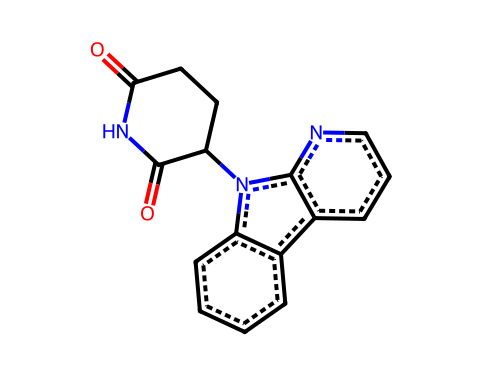 O=C1CCC(n2c3ccccc3c3cccnc32)C(=O)N1